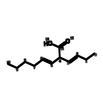 CCC=CC(C=CCCCC)C(=O)O